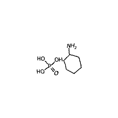 NC1CCCCC1.O=P(O)(O)O